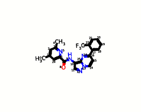 Cc1cc(C)nc(C(=O)Nc2cnn3ccc(-c4ccccc4C(F)(F)F)nc23)c1